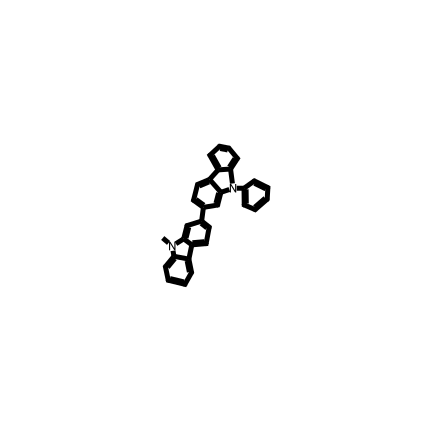 Cn1c2ccccc2c2ccc(-c3ccc4c5ccccc5n(-c5ccccc5)c4c3)cc21